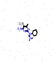 Cc1nc(N(CN(C)C)C2CCCCC2)nc(N)c1[N+](=O)[O-]